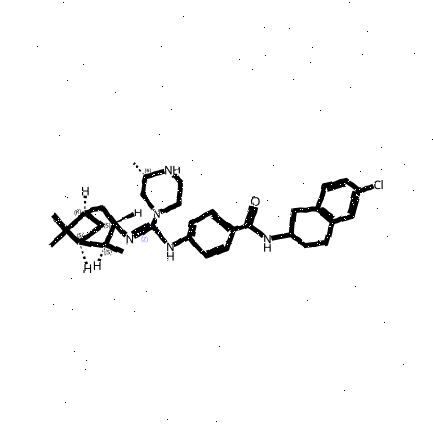 C[C@@H]1[C@@H](/N=C(/Nc2ccc(C(=O)NC3CCc4cc(Cl)ccc4C3)cc2)N2CCN[C@@H](C)C2)C[C@H]2C[C@@H]1C2(C)C